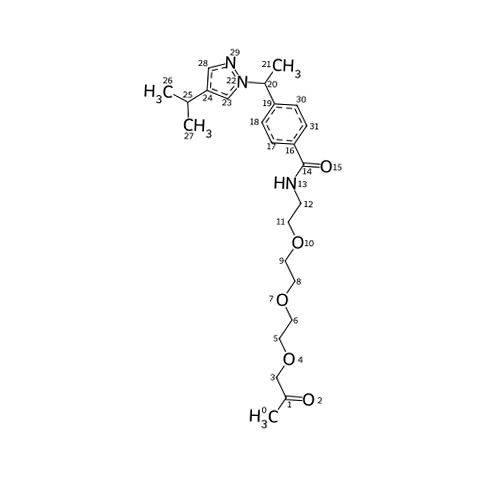 CC(=O)COCCOCCOCCNC(=O)c1ccc(C(C)n2cc(C(C)C)cn2)cc1